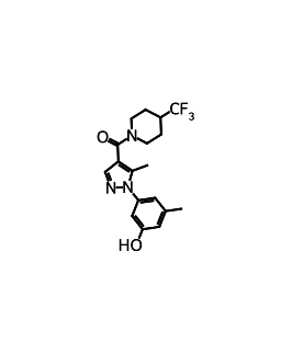 Cc1cc(O)cc(-n2ncc(C(=O)N3CCC(C(F)(F)F)CC3)c2C)c1